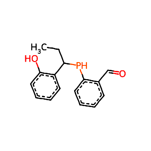 CCC(Pc1ccccc1C=O)c1ccccc1O